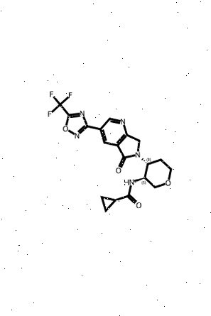 O=C(N[C@@H]1COCC[C@H]1N1Cc2ncc(-c3noc(C(F)(F)F)n3)cc2C1=O)C1CC1